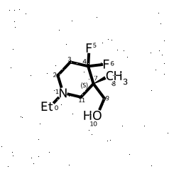 CCN1CCC(F)(F)[C@](C)(CO)C1